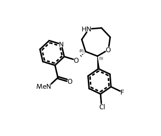 CNC(=O)c1cccnc1O[C@@H]1CNCCO[C@H]1c1ccc(Cl)c(F)c1